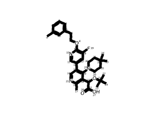 Cc1cccc(CCOc2ncc(-c3cnc(C)c(C(OC(C)(C)C)C(=O)O)c3N3CCC(C)(C)CC3)cc2F)c1